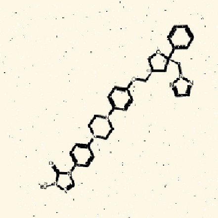 CC[C@H](C)n1ncn(-c2ccc(N3CCN(c4ccc(OC[C@H]5CO[C@](Cn6nccn6)(c6ccccc6)C5)cc4)CC3)cc2)c1=O